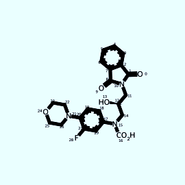 O=C1c2ccccc2C(=O)N1C[C@H](O)CN(C(=O)O)c1ccc(N2CCOCC2)c(F)c1